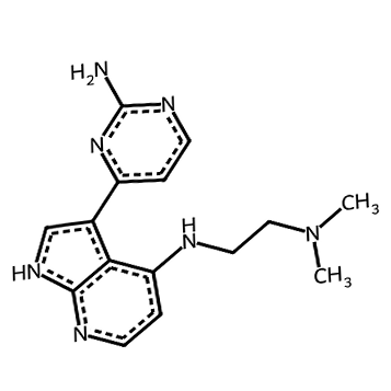 CN(C)CCNc1ccnc2[nH]cc(-c3ccnc(N)n3)c12